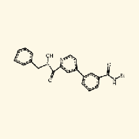 CCNC(=O)c1cccc(-c2ccnc(C(=O)N(O)Cc3ccccc3)c2)c1